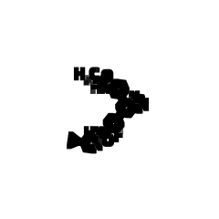 C=CC(=O)Nc1cccc(-c2cc(-c3ccc(C(=O)Nc4cc(C5CC5)ccn4)c(F)c3)cc3cncnc23)c1